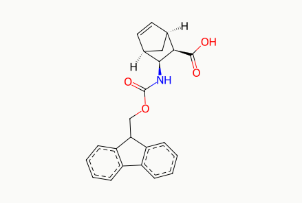 O=C(N[C@@H]1[C@H](C(=O)O)[C@@H]2C=C[C@H]1C2)OCC1c2ccccc2-c2ccccc21